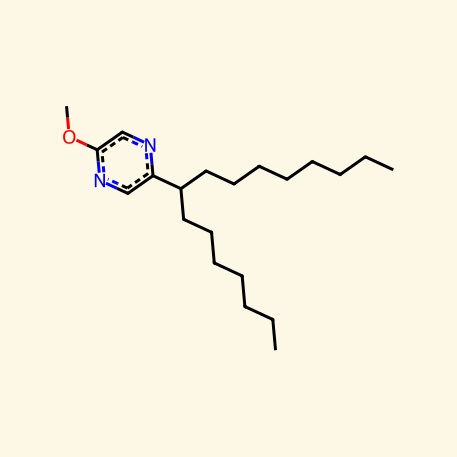 CCCCCCCCC(CCCCCCC)c1cnc(OC)cn1